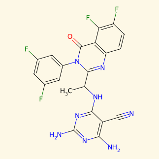 CC(Nc1nc(N)nc(N)c1C#N)c1nc2ccc(F)c(F)c2c(=O)n1-c1cc(F)cc(F)c1